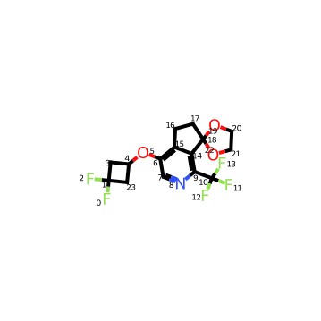 FC1(F)CC(Oc2cnc(C(F)(F)F)c3c2CCC32OCCO2)C1